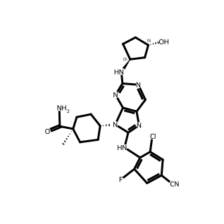 C[C@]1(C(N)=O)CC[C@H](n2c(Nc3c(F)cc(C#N)cc3Cl)nc3cnc(N[C@H]4CC[C@H](O)C4)nc32)CC1